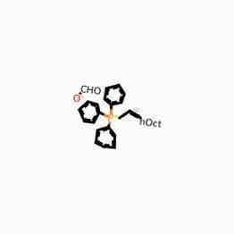 CCCCCCCC/C=C\C[P+](c1ccccc1)(c1ccccc1)c1ccccc1.O=C[O-]